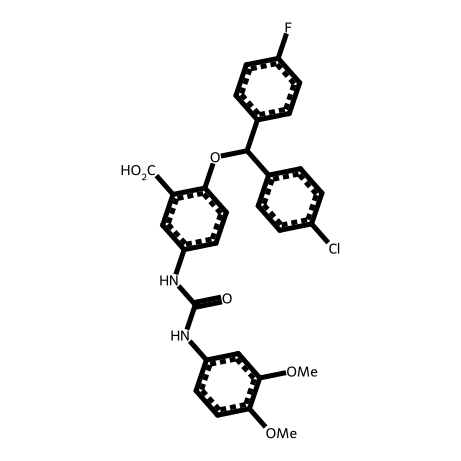 COc1ccc(NC(=O)Nc2ccc(OC(c3ccc(F)cc3)c3ccc(Cl)cc3)c(C(=O)O)c2)cc1OC